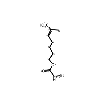 CCNC(=O)OCCCCC=C(C)C(=O)O